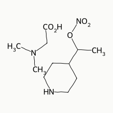 CC(O[N+](=O)[O-])C1CCNCC1.CN(C)CC(=O)O